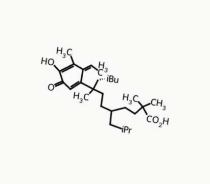 C/C=C1\C(C(C)(CCC(CCC(C)(C)C(=O)O)CC(C)C)C[C@@H](C)CC)=CC(=O)C(O)=C1C